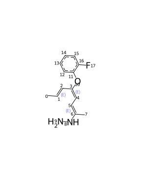 C/C=C/C(=C\C=C(/C)NN)Oc1ccccc1F